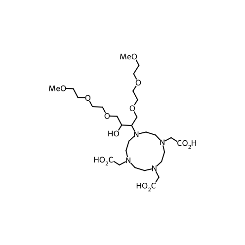 COCCOCCOCC(O)C(COCCOCCOC)N1CCN(CC(=O)O)CCN(CC(=O)O)CCN(CC(=O)O)CC1